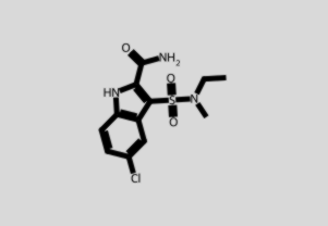 CCN(C)S(=O)(=O)c1c(C(N)=O)[nH]c2ccc(Cl)cc12